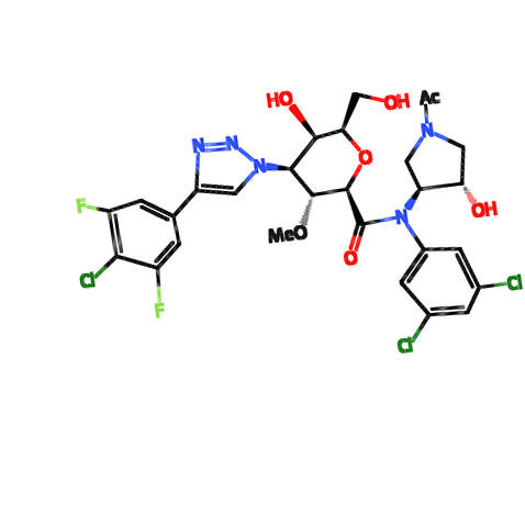 CO[C@@H]1[C@@H](n2cc(-c3cc(F)c(Cl)c(F)c3)nn2)[C@@H](O)[C@@H](CO)O[C@H]1C(=O)N(c1cc(Cl)cc(Cl)c1)[C@H]1CN(C(C)=O)C[C@@H]1O